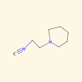 [C-]#[N+]CCN1CCCCC1